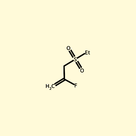 C=C(F)CS(=O)(=O)CC